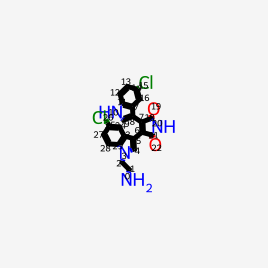 NCCn1cc(C2=C(c3c[nH]c4ccc(Cl)cc34)C(=O)NC2=O)c2cc(Cl)ccc21